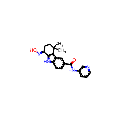 CC1(C)CCC(=NO)c2[nH]c3ccc(C(=O)Nc4cccnc4)cc3c21